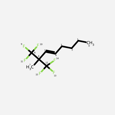 CCCCC=CC(C)(C(F)(F)F)C(F)(F)F